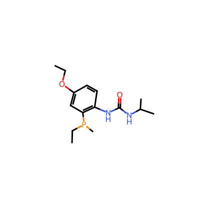 CCOc1ccc(NC(=O)NC(C)C)c(P(C)CC)c1